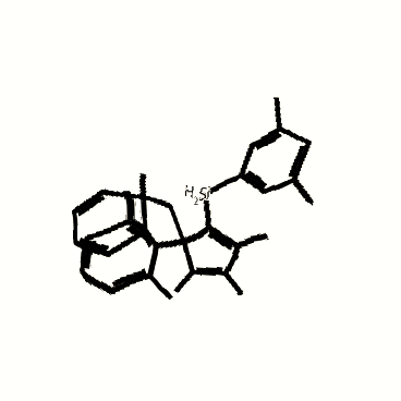 CC1=C(C)C(CC2(C)C=CC=CC2)(c2c(C)cccc2C)C([SiH2]c2cc(C)cc(C)c2)=C1C